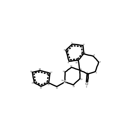 O=C1CCCc2ccccc2C12CCN(Cc1ccccc1)CC2